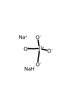 [Na+].[NaH].[O-][I+3]([O-])([O-])[O-]